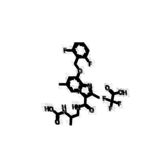 Cc1cc(OCc2c(F)cccc2F)c2nc(C)c(C(=O)NCC(C)NC(=O)O)n2c1.O=C(O)C(F)(F)F